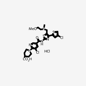 COCCN(C)Cc1sc(NC(=O)c2cnc(N3CCC(C(=O)O)CC3)c(Cl)c2)nc1-c1cc(Cl)cs1.Cl